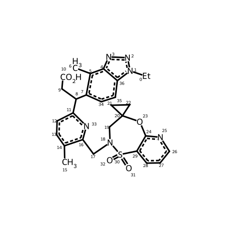 CCn1nnc2c(C)c(C(CC(=O)O)c3ccc(C)c(CN4CC5(CC5)Oc5ncccc5S4(=O)=O)n3)ccc21